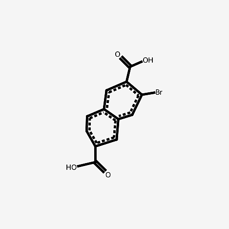 O=C(O)c1ccc2cc(C(=O)O)c(Br)cc2c1